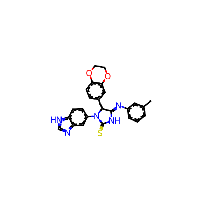 Cc1cccc(/N=C2\NC(=S)N(c3ccc4[nH]cnc4c3)C2c2ccc3c(c2)OCCO3)c1